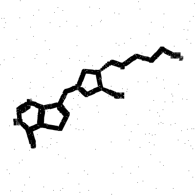 NCCCSC[C@H]1CN(CC2=CCc3c2nc[nH]c3=O)C[C@@H]1O